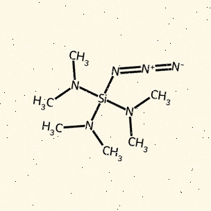 CN(C)[Si](N=[N+]=[N-])(N(C)C)N(C)C